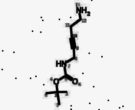 CC(C)(C)OC(=O)NCC#CCCN